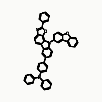 c1ccc(-c2nc3ccc4c5cc(-c6ccc(N(c7ccccc7)c7ccccc7)cc6)ccc5n(-c5ccc6oc7ccccc7c6c5)c4c3o2)cc1